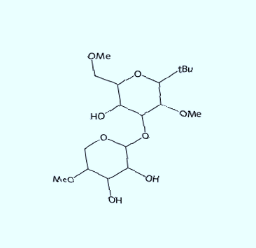 COCC1OC(C(C)(C)C)C(OC)C(OC2OCC(OC)C(O)C2O)C1O